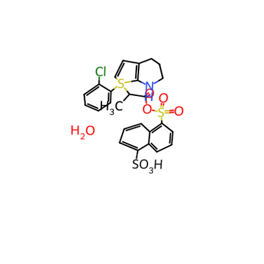 CC(C(=O)OS(=O)(=O)c1cccc2c(S(=O)(=O)O)cccc12)S1(c2ccccc2Cl)C=CC2=C1NCCC2.O